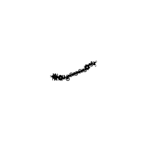 CC(C)=NOCc1ccc(OCCOCCOCCOCCC(=O)NCc2ccc(-c3nnc(C)nn3)cc2)cc1